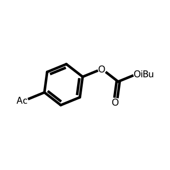 CC(=O)c1ccc(OC(=O)OCC(C)C)cc1